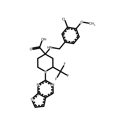 COc1ccc(CNC2(C(=O)O)CCN(c3ncc4ccsc4n3)C(C(F)(F)F)C2)cc1Cl